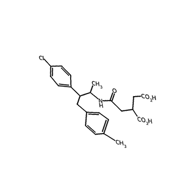 Cc1ccc(CC(c2ccc(Cl)cc2)C(C)NC(=O)CC(CC(=O)O)C(=O)O)cc1